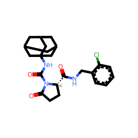 O=C(NCc1ccccc1Cl)[C@@H]1CCC(=O)N1C(=O)NC12CC3CC(CC(C3)C1)C2